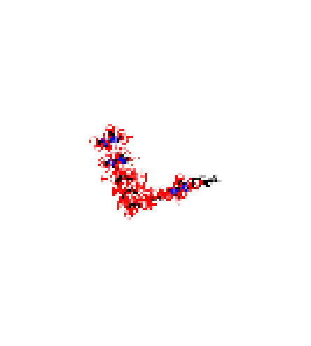 O=C([O-])CN(CCN(CC(=O)[O-])CC(=O)[O-])CC(=O)[O-].O=C([O-])CN(CCN(CC(=O)[O-])CC(=O)[O-])CC(=O)[O-].O=C([O-])CN(CCN(CC(=O)[O-])CC(=O)[O-])CC(=O)[O-].O=C1O[C@H]([C@@H](O)CO)C(O)=C1O.O=C1O[C@H]([C@@H](O)CO)C(O)=C1O.O=C1O[C@H]([C@@H](O)CO)C(O)=C1O.O=C1O[C@H]([C@@H](O)CO)C(O)=C1O.[Fe+3].[Fe+3].[Fe+3].[Fe+3]